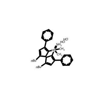 CCCCC1=CC(c2ccccc2)=[C]([Hf]([CH3])([CH3])(=[SiH2])[C]2=C(c3ccccc3)C=C(CCCC)C2)C1.Cl.Cl